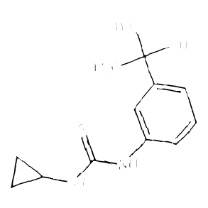 CC(C)(C)c1cccc(NC(=S)NC2CC2)c1